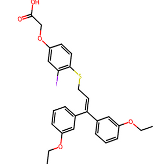 CCOc1cccc(C(=CCSc2ccc(OCC(=O)O)cc2I)c2cccc(OCC)c2)c1